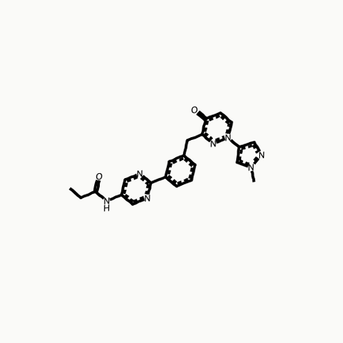 CCC(=O)Nc1cnc(-c2cccc(Cc3nn(-c4cnn(C)c4)ccc3=O)c2)nc1